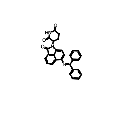 O=C1CCC(N2C(=O)c3cccc4c(N=C(c5ccccc5)c5ccccc5)ccc2c34)C(=O)N1